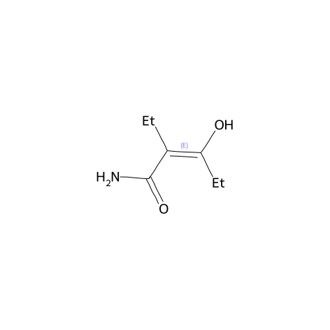 CC/C(O)=C(/CC)C(N)=O